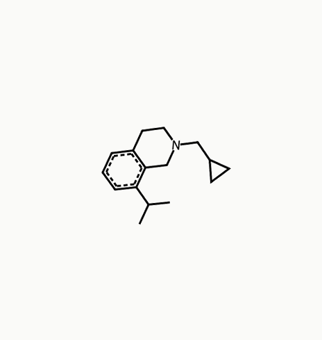 CC(C)c1cccc2c1CN(CC1CC1)CC2